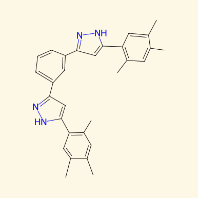 Cc1cc(C)c(-c2cc(-c3cccc(-c4cc(-c5cc(C)c(C)cc5C)[nH]n4)c3)n[nH]2)cc1C